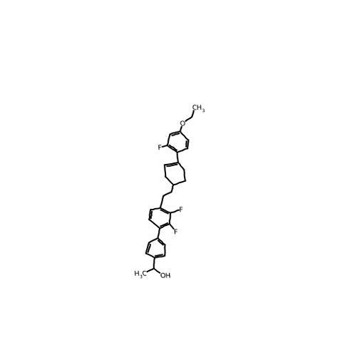 CCOc1ccc(C2=CCC(CCc3ccc(-c4ccc(C(C)O)cc4)c(F)c3F)CC2)c(F)c1